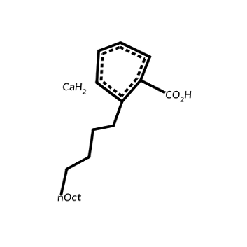 CCCCCCCCCCCCc1ccccc1C(=O)O.[CaH2]